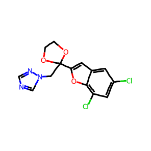 Clc1cc(Cl)c2oc(C3(Cn4cncn4)OCCO3)cc2c1